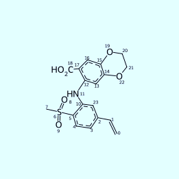 C=Cc1ccc(S(C)(=O)=O)c(Nc2cc3c(cc2C(=O)O)OCCO3)c1